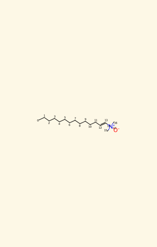 CCCCCCCCCCCCC=C[N+](C)(C)[O-]